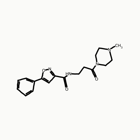 CN1CCN(C(=O)CCNC(=O)c2cc(-c3ccccc3)on2)CC1